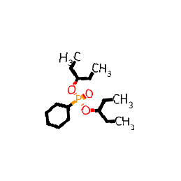 CCC(CC)OP(=O)(OC(CC)CC)C1CCCCC1